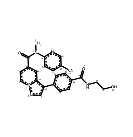 CN(C(=O)c1ccn2ncc(-c3ccc(C(=O)NCCO)cc3)c2c1)c1ccc(C#N)cn1